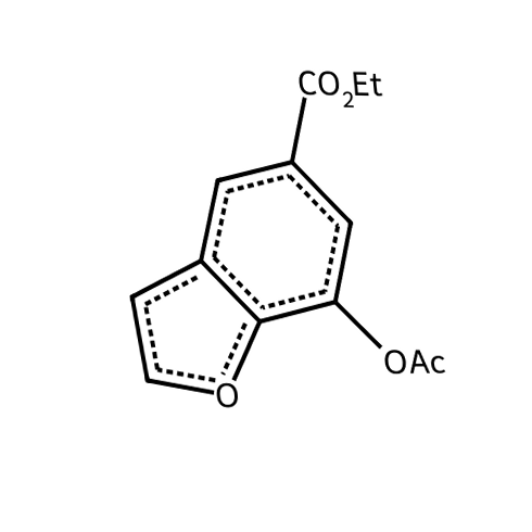 CCOC(=O)c1cc(OC(C)=O)c2occc2c1